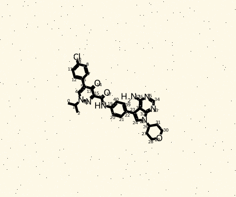 CC(C)n1cc(-c2ccc(Cl)cc2)c(=O)c(C(=O)Nc2ccc(-c3cn(C4CCOCC4)c4ncnc(N)c34)cc2)n1